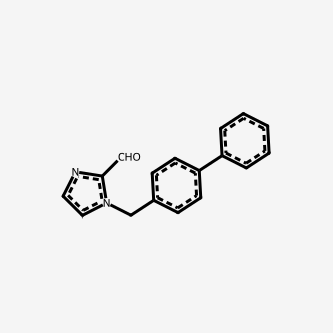 O=Cc1nc[c]n1Cc1ccc(-c2ccccc2)cc1